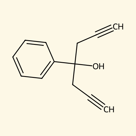 C#CCC(O)(CC#C)c1ccccc1